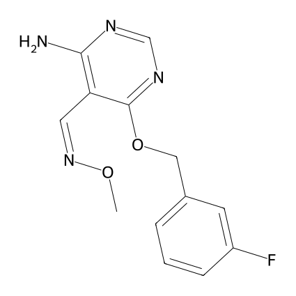 CO/N=C\c1c(N)ncnc1OCc1cccc(F)c1